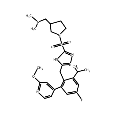 COc1cc(-c2cc(F)cc(C(C)C)c2Cc2nnc(S(=O)(=O)N3CCC(CN(C)C)C3)[nH]2)ccn1